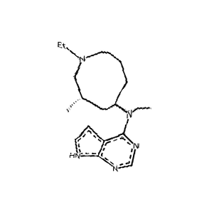 CCN1CCCC(N(C)c2ncnc3[nH]ccc23)C[C@H](C)C1